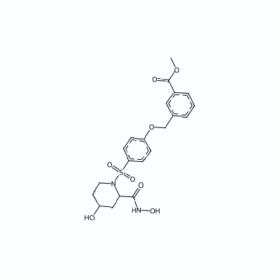 COC(=O)c1cccc(COc2ccc(S(=O)(=O)N3CCC(O)CC3C(=O)NO)cc2)c1